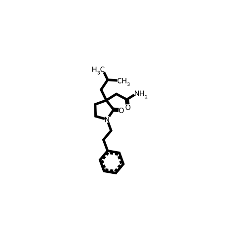 CC(C)CC1(CC(N)=O)CCN(CCc2ccccc2)C1=O